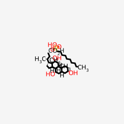 CCCCCCCCCCS(=O)(=O)O.C[C@H](CCC(=O)O)[C@H]1CC[C@H]2[C@@H]3[C@H](O)C[C@@H]4C[C@H](O)CC[C@]4(C)[C@H]3C[C@H](O)[C@]12C